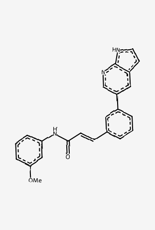 COc1cccc(NC(=O)C=Cc2cccc(-c3cnc4[nH]ccc4c3)c2)c1